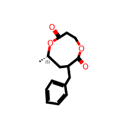 C[C@H]1CC(Cc2ccccc2)C(=O)OCCC(=O)O1